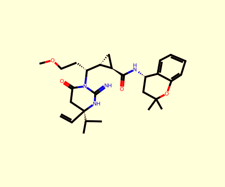 C=C[C@@]1(C(C)C)CC(=O)N([C@H](CCOC)[C@@H]2C[C@H]2C(=O)N[C@H]2CC(C)(C)Oc3ccccc32)C(=N)N1